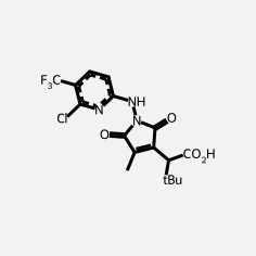 CC1=C(C(C(=O)O)C(C)(C)C)C(=O)N(Nc2ccc(C(F)(F)F)c(Cl)n2)C1=O